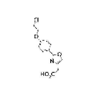 O=C(O)Cc1coc(-c2ccc(OCCCl)cc2)n1